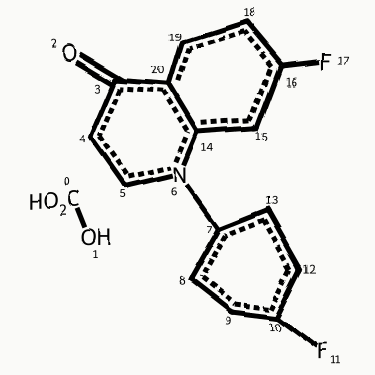 O=C(O)O.O=c1ccn(-c2ccc(F)cc2)c2cc(F)ccc12